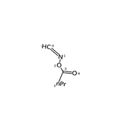 [CH]=NOC(=O)CCC